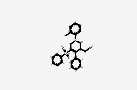 Cc1ccccc1N1CC(S(=O)(=O)c2ccccc2)=C(c2ccccc2)C(CBr)C1